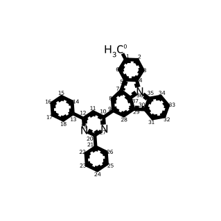 Cc1ccc2c(c1)c1cc(-c3cc(-c4ccccc4)nc(-c4ccccc4)n3)cc3c4ccccc4n2c31